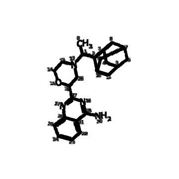 CC(C1C2CC3CC(C2)CC1C3)N1CCOC(c2nc(N)c3ccccc3n2)C1